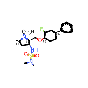 C[C@@H]1C[C@H](NS(=O)(=O)N(C)C)[C@H](CO[C@@H]2CC[C@H](c3ccccc3)CC2F)N1C(=O)O